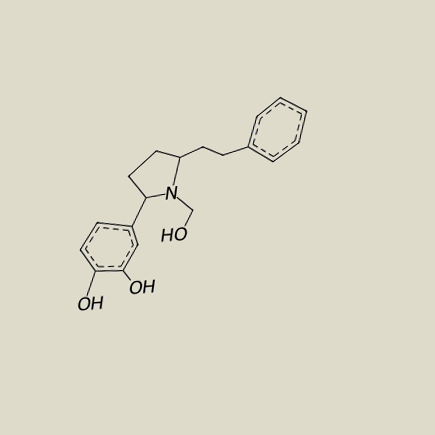 OCN1C(CCc2ccccc2)CCC1c1ccc(O)c(O)c1